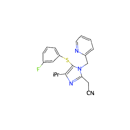 CC(C)c1nc(CC#N)n(Cc2ccccn2)c1Sc1cccc(F)c1